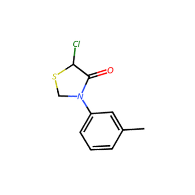 Cc1cccc(N2CSC(Cl)C2=O)c1